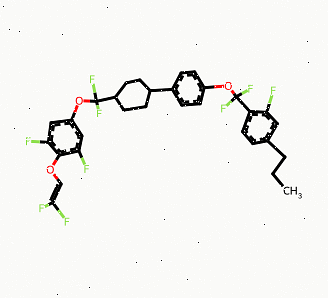 CCCc1ccc(C(F)(F)Oc2ccc(C3CCC(C(F)(F)Oc4cc(F)c(OC=C(F)F)c(F)c4)CC3)cc2)c(F)c1